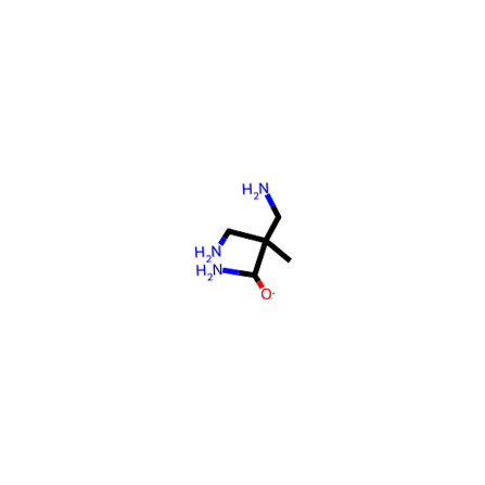 CC(CN)(CN)C(N)[O]